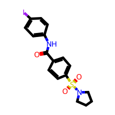 O=C(Nc1ccc(I)cc1)c1ccc(S(=O)(=O)N2CCCC2)cc1